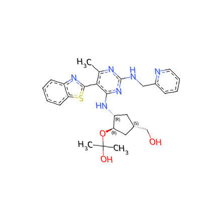 Cc1nc(NCc2ccccn2)nc(N[C@@H]2C[C@H](CO)C[C@H]2OC(C)(C)O)c1-c1nc2ccccc2s1